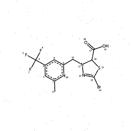 Cc1cc(C(F)(F)F)cc(CN2N=C(Br)SC2C(=O)O)n1